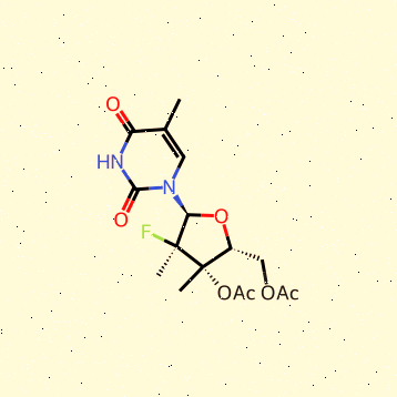 CC(=O)OC[C@H]1O[C@H](n2cc(C)c(=O)[nH]c2=O)[C@](C)(F)[C@@]1(C)OC(C)=O